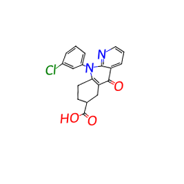 O=C(O)C1CCc2c(c(=O)c3cccnc3n2-c2cccc(Cl)c2)C1